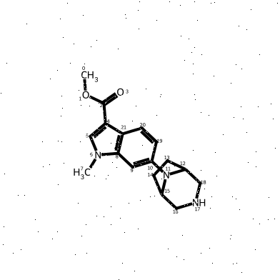 COC(=O)c1cn(C)c2cc(N3C4CCC3CNC4)ccc12